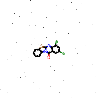 O=c1c2cc(Br)cc(Br)c2nc2sc3ccccc3n12